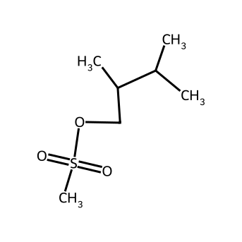 CC(C)C(C)COS(C)(=O)=O